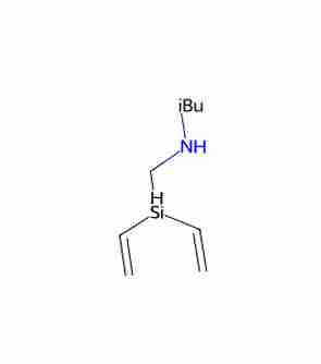 C=C[SiH](C=C)CNC(C)CC